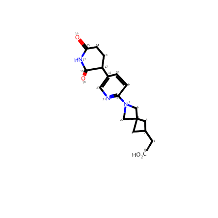 O=C(O)CC1CC2(C1)CN(c1ccc(C3CCC(=O)NC3=O)cn1)C2